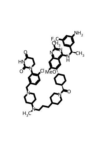 COc1cc2nc(C)nc(N[C@H](C)c3cc(N)cc(C(F)(F)F)c3)c2cc1[C@H]1CC[C@H](C(=O)N2CCC(CCCN(C)C3CCN(Cc4ccc(Cl)c(N5CCC(=O)NC5=O)c4)CC3)CC2)CC1